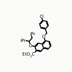 CCOC(=O)c1cc2cccc(OCc3ccc(Cl)cc3)c2cc1OC(CC(C)C)C(C)C